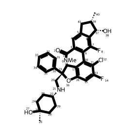 CNC(=O)c1cc2c(c(F)c1-c1c(Cl)c(F)cc3c1C[C@@](CN[C@H]1CC[C@](C)(O)CC1)(c1ccccc1)O3)[C@@H](O)[C@@H](C)C2